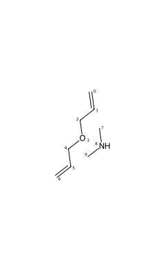 C=CCOCC=C.CNC